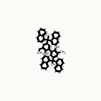 CCc1cc(C(CC)(c2cccc3ccccc23)c2cccc3ccccc23)cc(-c2cc(C(C)(c3cccc4ccccc34)c3cccc4ccccc34)cc(C)c2O)c1O